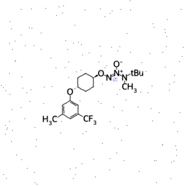 Cc1cc(O[C@H]2CC[C@H](O/N=[N+](\[O-])N(C)C(C)(C)C)CC2)cc(C(F)(F)F)c1